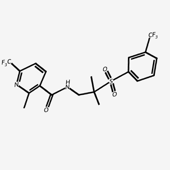 Cc1nc(C(F)(F)F)ccc1C(=O)NCC(C)(C)S(=O)(=O)c1cccc(C(F)(F)F)c1